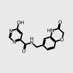 O=C1COc2ccc(CNC(=O)c3cc(O)ncn3)cc2N1